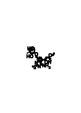 CCOC(=S)C=C(O)c1cn(CO[C@H](CO)[C@@H](O)[C@H](C)O)c2nc(SC)nc(N)c12